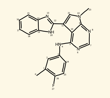 Cc1cc(Nc2ncnc3c2c(-c2nc4ccccc4[nH]2)cn3C)ccc1F